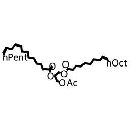 CCCCC/C=C\C/C=C\CCCCCCCC(=O)OC(COC(C)=O)COC(=O)CCCCCCC/C=C\CCCCCCCC